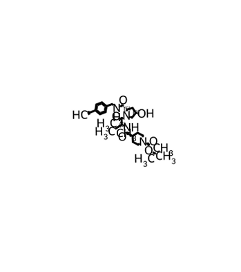 C#Cc1ccc(CNC(=O)[C@@H]2C[C@@H](O)CN2C(=O)[C@@H](NC(=O)C2CCN(C(=O)OC(C)(C)C)CC2)C(C)(C)C)cc1